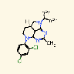 CCCC(CCC)N1C[C@@H]2CCN(c3ccc(Cl)cc3Cl)C3N=C(C)N=C1C32